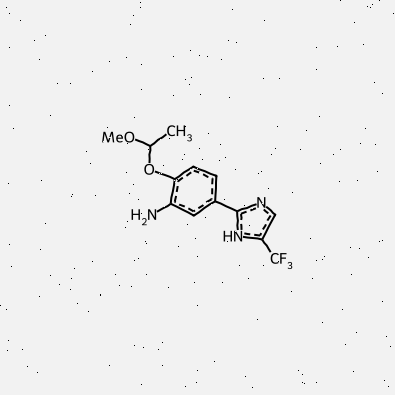 COC(C)Oc1ccc(-c2ncc(C(F)(F)F)[nH]2)cc1N